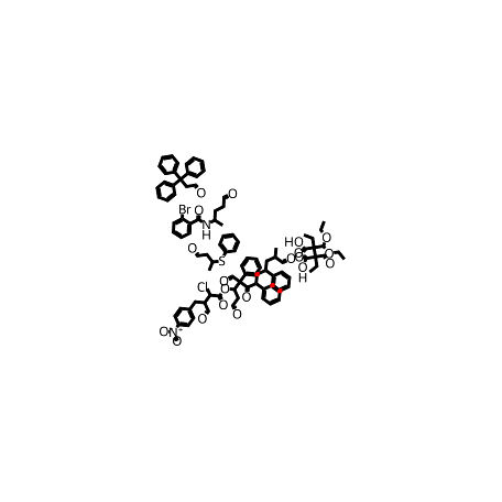 CC(C=O)CC(CC(C(=O)C(C=O)(c1ccccc1)C(CC=O)OC(=O)C(Cl)C(C=O)Cc1ccc([N+](=O)[O-])cc1)c1ccccc1)c1ccccc1.CC(CC=O)Sc1ccccc1.CC(CCC=O)NC(=O)c1ccccc1Br.CCOC(OCC)C(CC)(C(=O)O)C(C=O)(CC)C(=O)O.O=CCC(c1ccccc1)(c1ccccc1)c1ccccc1